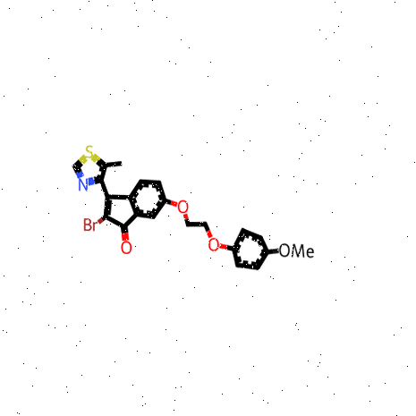 COc1ccc(OCCOc2ccc3c(c2)C(=O)C(Br)=C3c2ncsc2C)cc1